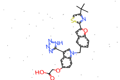 CC(C)(C)c1csc(-c2cc3cc(Cn4cc(-c5nnn[nH]5)c5cc(OCC(=O)O)ccc54)ccc3o2)n1